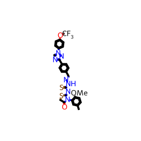 COc1ccc(C)cc1N1C(=O)CS/C1=N\C(=S)N/N=C/c1ccc(-c2ncn(-c3ccc(OC(F)(F)F)cc3)n2)cc1